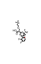 C[C@]1(c2cccc(F)c2F)N=C(N(COCC[Si](C)(C)C)C(=O)O)S[C@@]2(C(F)F)C[C@@H]12